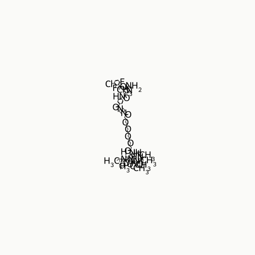 CC[C@H](NC(=O)[C@H]1CC(NC(=O)CCOCCOCCOCCOCCC(=O)N2CCN(C(=O)c3ccc(NC(=O)c4cnc(N)c(O[C@H](C)c5c(F)ccc(Cl)c5F)c4)cc3)CC2)CN1C(=O)[C@H](NC(=O)[C@@H](C)NC)C(C)(C)C)c1ccccc1